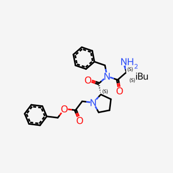 CC[C@H](C)[C@H](N)C(=O)N(Cc1ccccc1)C(=O)[C@@H]1CCCN1CC(=O)OCc1ccccc1